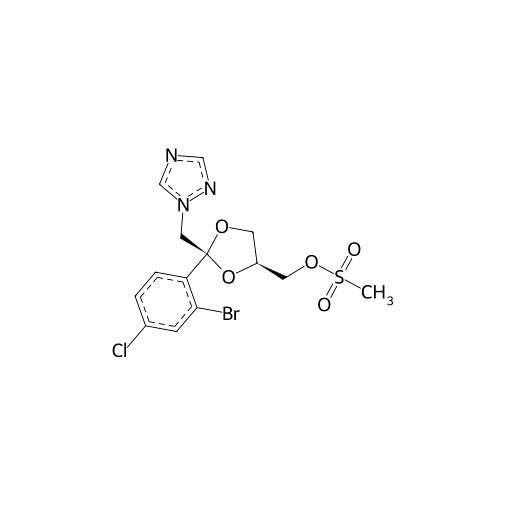 CS(=O)(=O)OC[C@@H]1CO[C@@](Cn2cncn2)(c2ccc(Cl)cc2Br)O1